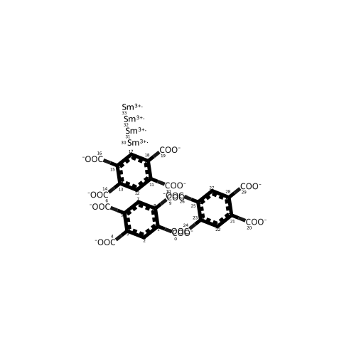 O=C([O-])c1cc(C(=O)[O-])c(C(=O)[O-])cc1C(=O)[O-].O=C([O-])c1cc(C(=O)[O-])c(C(=O)[O-])cc1C(=O)[O-].O=C([O-])c1cc(C(=O)[O-])c(C(=O)[O-])cc1C(=O)[O-].[Sm+3].[Sm+3].[Sm+3].[Sm+3]